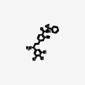 O=C(NC1(c2ccccc2)CC1)c1ccc(/C=C/C(c2cc(Cl)c(Cl)c(Cl)c2)C(F)(F)F)cc1Br